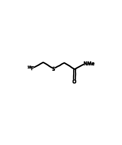 CNC(=O)CSC[18F]